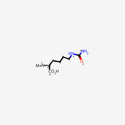 CN[C@@H](CCCCNC(N)=O)C(=O)O